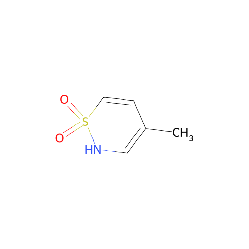 CC1=CNS(=O)(=O)C=C1